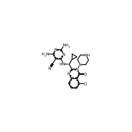 N#Cc1c(N)nc(N)nc1N[C@H](c1nc2cccc(Cl)c2c(=O)n1N1CCNCC1)C1CC1